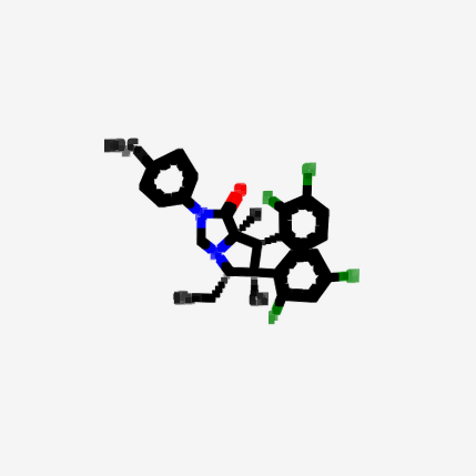 CC(C)(C)C[C@@H]1N2CN(c3ccc(C(=O)O)cc3)C(=O)[C@H]2[C@H](c2cccc(Cl)c2F)[C@@]1(C#N)c1ccc(Cl)cc1F